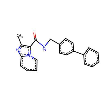 Cc1nc2ccccn2c1C(=O)NCc1ccc(-c2ccccc2)cc1